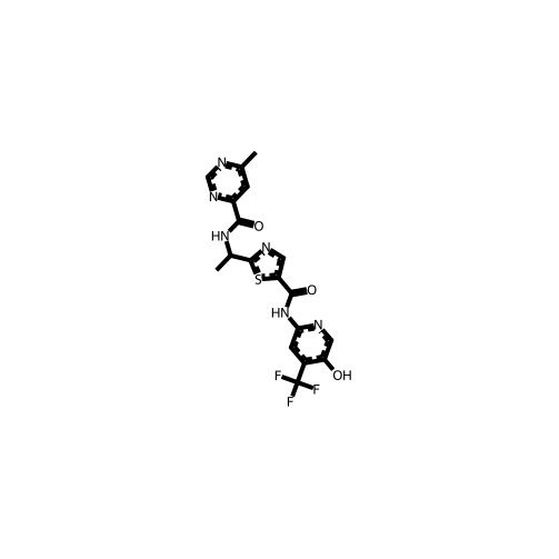 Cc1cc(C(=O)NC(C)c2ncc(C(=O)Nc3cc(C(F)(F)F)c(O)cn3)s2)ncn1